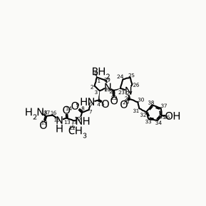 B[C@H]1C[C@H](C(=O)NCC(=O)N[C@H](C)C(=O)NCC(N)=O)N(C(=O)[C@H]2CCCN2C(=O)CCc2ccc(O)cc2)C1